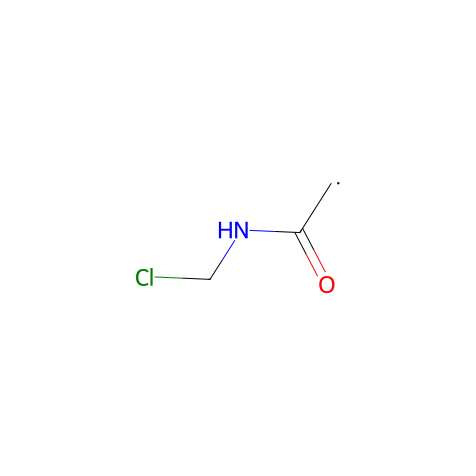 [CH2]C(=O)NCCl